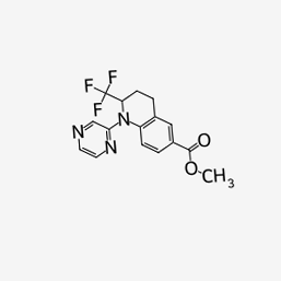 COC(=O)c1ccc2c(c1)CCC(C(F)(F)F)N2c1cnccn1